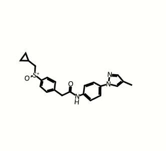 Cc1cnn(-c2ccc(NC(=O)Cc3ccc([S+]([O-])CC4CC4)cc3)cc2)c1